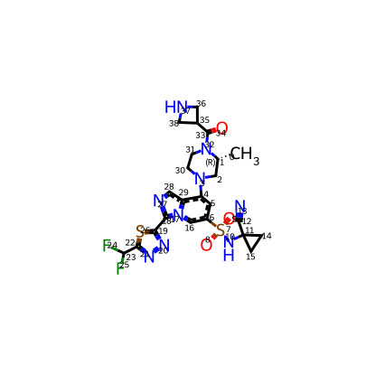 C[C@@H]1CN(c2cc(S(=O)(=O)NC3(C#N)CC3)cn3c(-c4nnc(C(F)F)s4)ncc23)CCN1C(=O)C1CNC1